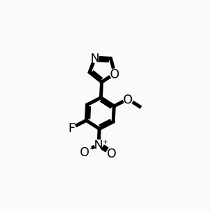 COc1cc([N+](=O)[O-])c(F)cc1-c1cnco1